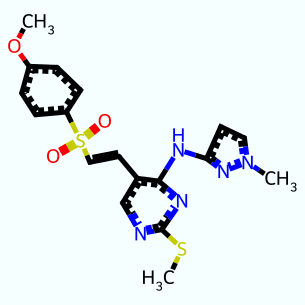 COc1ccc(S(=O)(=O)C=Cc2cnc(SC)nc2Nc2ccn(C)n2)cc1